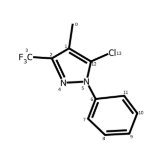 Cc1c(C(F)(F)F)nn(-c2ccccc2)c1Cl